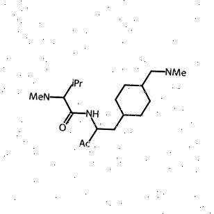 CNCC1CCC(CC(NC(=O)C(NC)C(C)C)C(C)=O)CC1